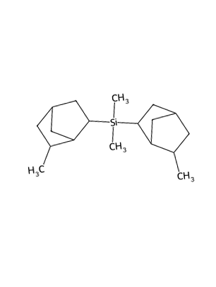 CC1CC2CC1C([Si](C)(C)C1CC3CC(C)C1C3)C2